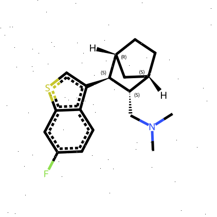 CN(C)C[C@H]1[C@H]2CC[C@H](C2)[C@@H]1c1csc2cc(F)ccc12